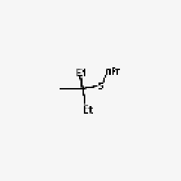 CCCSC(C)(CC)CC